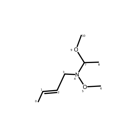 CC=CCN(OC)C(C)OC